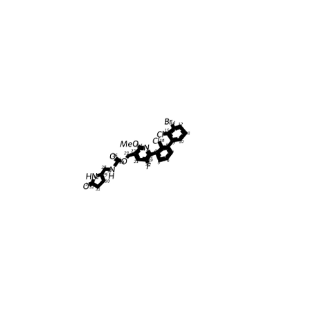 COc1nc(-c2cccc(-c3cccc(Br)c3Cl)c2Cl)c(F)cc1COC(=O)NCC1CCC(=O)N1